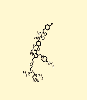 C=C(CN(C)CCOCCc1cc(CN2CCC(N)CC2)c2c(Oc3ccc(NC(=O)NC(=O)Cc4ccc(F)cc4)cc3F)ncnn12)CC(C)(C)C